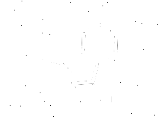 CC(C)n1nc(Cl)c2ccccc21